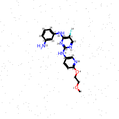 COCCOc1ccc(Nc2ncc(F)c(Nc3cccc(N)c3)n2)cn1